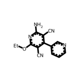 CCOc1nc(N)c(C#N)c(-c2cccnc2)c1C#N